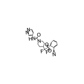 N#Cc1ccccc1S(=O)(=O)C(F)(F)C1CCN(C(=O)Nc2ccnnc2)CC1